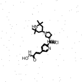 CC1(C)CC(N2CC[C@@H](Nc3ccc(C=CC(=O)NO)cn3)C2)CC(C)(C)N1.Cl.Cl.Cl